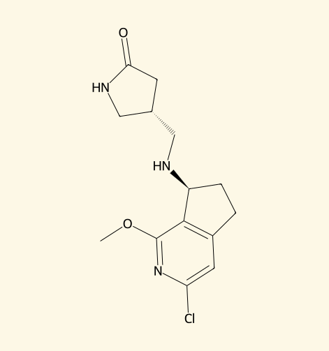 COc1nc(Cl)cc2c1[C@@H](NC[C@@H]1CNC(=O)C1)CC2